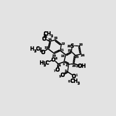 COC(=O)c1c(C(=O)OC)c(-c2ccc(OC)c(OC)c2)c2sccc2c1O